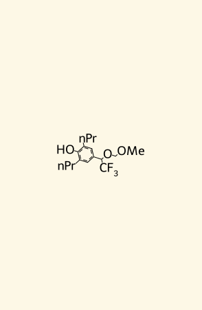 CCCc1cc(C(OCOC)C(F)(F)F)cc(CCC)c1O